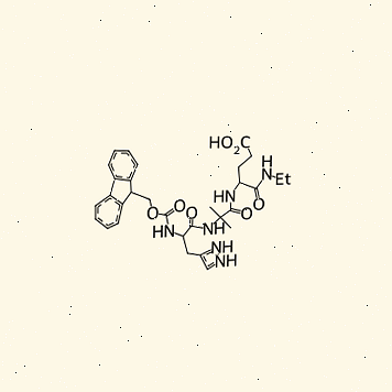 CCNC(=O)C(CCC(=O)O)NC(=O)C(C)(C)NC(=O)C(Cc1c[nH][nH]1)NC(=O)OCC1c2ccccc2-c2ccccc21